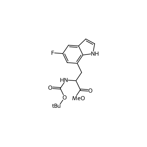 COC(=O)C(Cc1cc(F)cc2cc[nH]c12)NC(=O)OC(C)(C)C